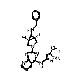 Cc1cc(Nc2nc(N3C[C@@H]4C(NCc5ccccc5)[C@@H]4C3)nc3ncccc23)n[nH]1